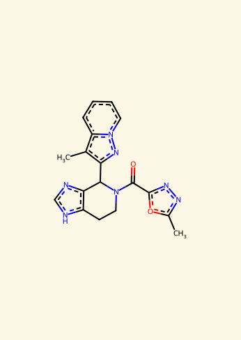 Cc1nnc(C(=O)N2CCc3[nH]cnc3C2c2nn3ccccc3c2C)o1